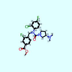 COC(=O)c1ccc(CN(C(=O)N2CC[C@@H](N(C)C)C2)c2ccc(F)cc2Cl)c(F)c1